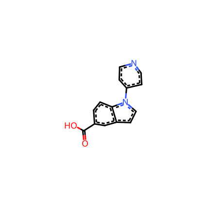 O=C(O)c1ccc2c(ccn2-c2ccncc2)c1